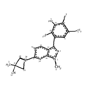 Cn1nc(-c2cc(C(F)(F)F)c(F)c(O)c2F)c2cnc(N3CC(C)(C#N)C3)nc21